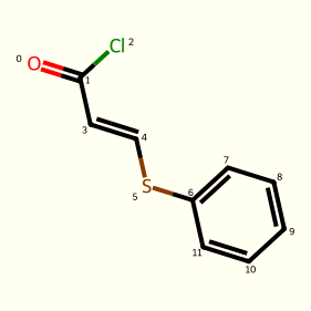 O=C(Cl)/C=C/Sc1ccccc1